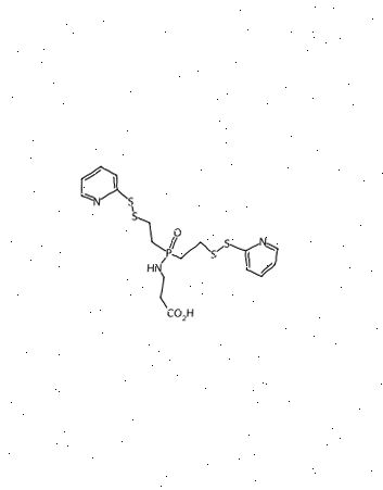 O=C(O)CCNP(=O)(CCSSc1ccccn1)CCSSc1ccccn1